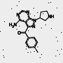 Cc1ccc(C(=O)c2nn(C3CCNC3)c3ncnc(N)c23)cc1